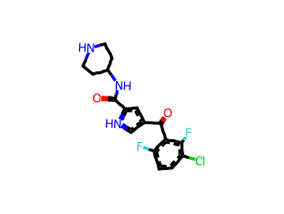 O=C(NC1CCNCC1)c1cc(C(=O)c2c(F)ccc(Cl)c2F)c[nH]1